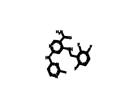 Cc1nccc(Nc2cc(NCc3c(F)ccc(F)c3F)c(C(N)=O)cn2)n1